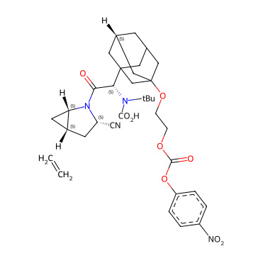 C=C.CC(C)(C)N(C(=O)O)[C@H](C(=O)N1[C@H](C#N)C[C@@H]2C[C@@H]21)C12CC3C[C@H](CC(OCCOC(=O)Oc4ccc([N+](=O)[O-])cc4)(C3)C1)C2